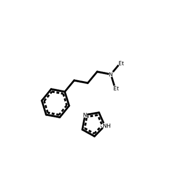 CCN(CC)CCCc1ccccc1.c1c[nH]cn1